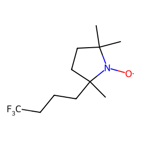 CC1(C)CCC(C)(CCCC(F)(F)F)N1[O]